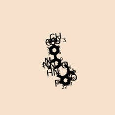 CS(=O)(=O)c1ccc(-c2cc3c(n4cnnc24)NCc2c(F)ccc4c2[C@H](CO4)CO3)cc1